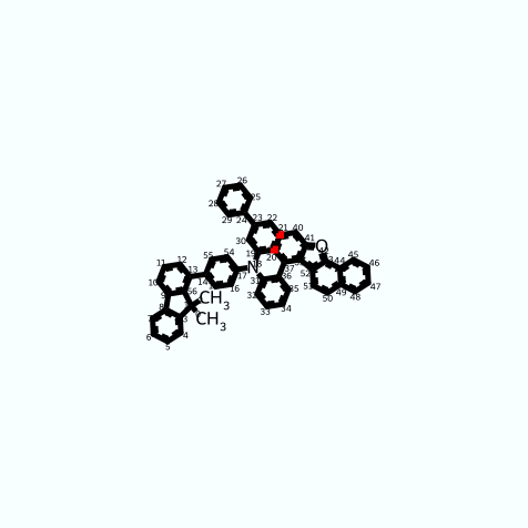 CC1(C)c2ccccc2-c2cccc(-c3ccc(N(c4cccc(-c5ccccc5)c4)c4ccccc4-c4cccc5oc6c7ccccc7ccc6c45)cc3)c21